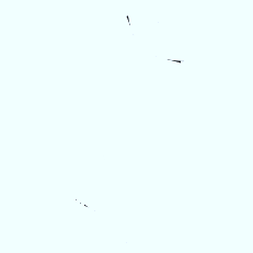 N[C@@H]1COC[C@H]1CCc1ccc2c(c1C(=O)O)OB(O)[C@@H]1C[C@H]21